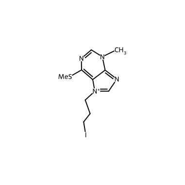 CSc1ncn(C)c2nc[n+](CCCI)c1-2